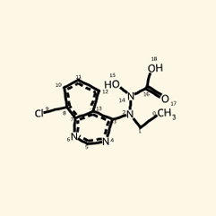 CCN(c1ncnc2c(Cl)cccc12)N(O)C(=O)O